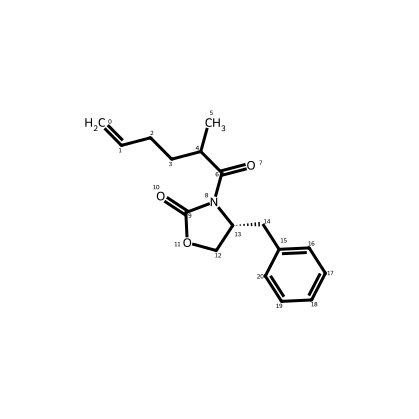 C=CCCC(C)C(=O)N1C(=O)OC[C@H]1Cc1ccccc1